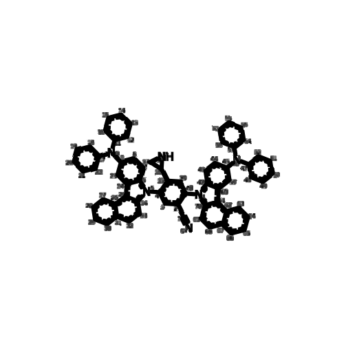 N#Cc1cc(-n2c3ccc(N(c4ccccc4)c4ccccc4)cc3c3c4ccccc4ccc32)c(C2CN2)cc1-n1c2ccc(N(c3ccccc3)c3ccccc3)cc2c2c3ccccc3ccc21